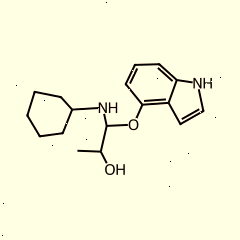 CC(O)C(NC1CCCCC1)Oc1cccc2[nH]ccc12